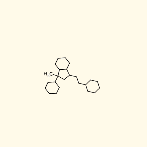 CC1(C2CCCCC2)CC(CCC2CCCCC2)C2CCCCC21